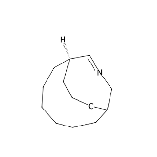 C1=N\CC2CCCCCC[C@@H]/1CCC2